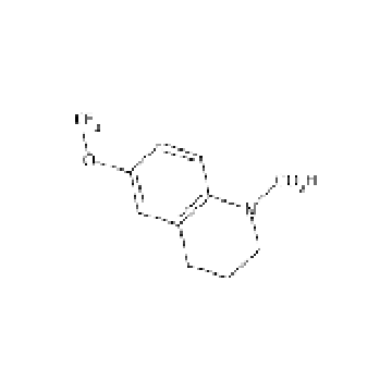 O=C(O)N1CCCc2cc(OC(F)(F)F)ccc21